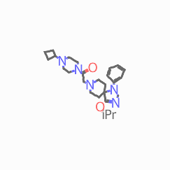 CC(C)OC1=NCN(c2ccccc2)C12CCN(CC(=O)N1CCN(C3CCC3)CC1)CC2